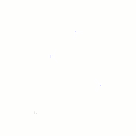 N#Cc1ccc(C(NCC(F)F)C(c2cccnc2)c2cccnc2)cc1